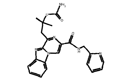 CC(C)(Cc1nc(C(=O)NCc2ccccn2)cn2c1nc1ccccc12)OC(N)=O